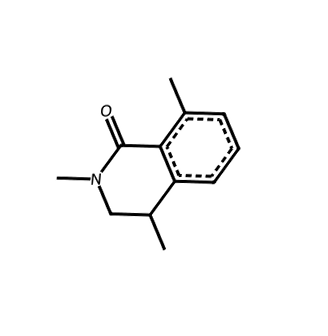 Cc1cccc2c1C(=O)N(C)CC2C